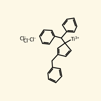 [Cl-].[Cl-].[Cl-].[Ti+3][C]1(C(c2ccccc2)c2ccccc2)C=CC(Cc2ccccc2)=C1